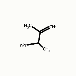 [CH]=C(C)C(C)CCC